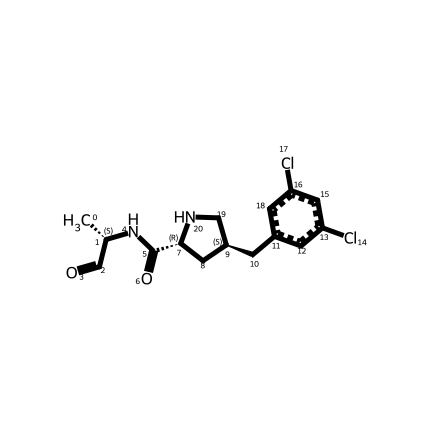 C[C@@H](C=O)NC(=O)[C@H]1C[C@H](Cc2cc(Cl)cc(Cl)c2)CN1